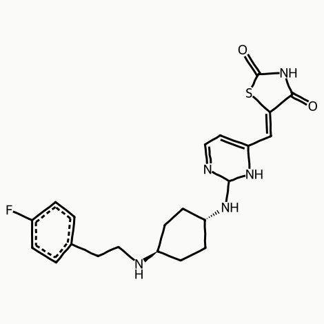 O=C1NC(=O)/C(=C/C2=CC=NC(N[C@H]3CC[C@H](NCCc4ccc(F)cc4)CC3)N2)S1